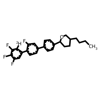 [2H]c1c(-c2ccc(-c3ccc(C4CCC(CCCC)CO4)cc3)cc2F)cc(F)c(F)c1F